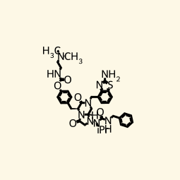 CC(C)N(C(=O)NCc1ccccc1)N1CC(=O)N2[C@@H](Cc3ccc(OC(=O)NCCN(C)C)cc3)C(=O)N(Cc3cccc4sc(N)nc34)C[C@@H]21